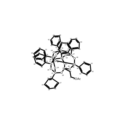 CC(=O)OCC[Si]12O[Si]3(c4ccccc4)O[Si]4(c5ccccc5)O[Si](c5ccccc5)(O1)O[Si]1(c5ccccc5)O[Si](c5ccccc5)(O2)O[Si](c2ccccc2)(O3)O[Si](c2ccccc2)(O4)O1